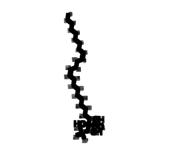 CCCCCCCC/C=C\CC/C=C\CCCCCCCCCC(O)(C[N+](C)(C)C)P(=O)(O)O